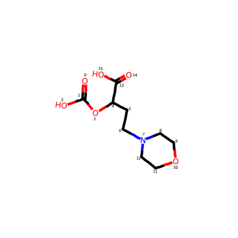 O=C(O)OC(CCN1CCOCC1)C(=O)O